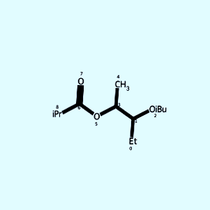 CC[C](OCC(C)C)C(C)OC(=O)C(C)C